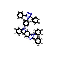 c1ccc(-c2nnc(-c3ccccc3)n2-c2ccc(-n3c4ccccc4c4cc5nc6c7ccccc7c7ccccc7n6c5cc43)cc2)cc1